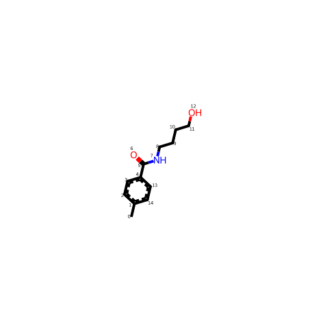 Cc1ccc(C(=O)NCCCCO)cc1